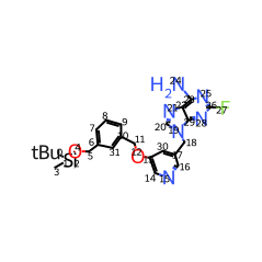 CC(C)(C)[Si](C)(C)OCc1cccc(COc2cncc(Cn3cnc4c(N)nc(F)nc43)c2)c1